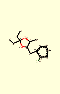 [CH2]C1OC(CC)(CC)OC1Cc1ccccc1Cl